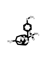 COc1ccc(CN2CC3=C4S/C(S(N)(=O)=O)=C\C2CC(C)(C3)S4(=O)=O)cc1